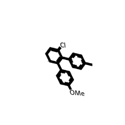 COc1ccc(C2=C(c3ccc(C)cc3)C(Cl)=CC[CH]2)cc1